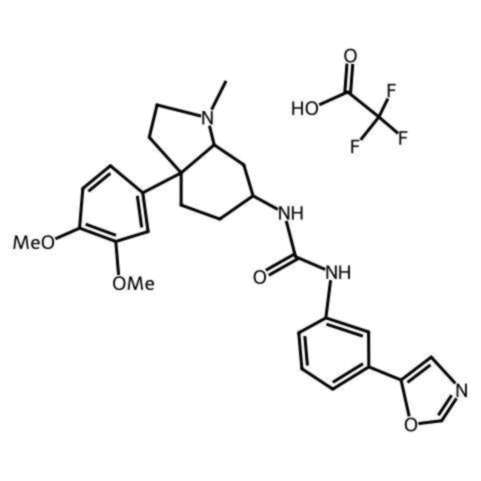 COc1ccc(C23CCC(NC(=O)Nc4cccc(-c5cnco5)c4)CC2N(C)CC3)cc1OC.O=C(O)C(F)(F)F